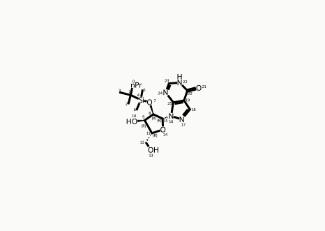 CCCC(C)(C)[Si](C)(C)O[C@@H]1[C@H](O)[C@@H](CO)O[C@H]1n1ncc2c(=O)[nH]cnc21